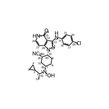 C[C@@H](C1CC1)N(O)[C@@H]1CC[C@@H](n2nc(Nc3ccc(Cl)cc3)c3c(=O)[nH]ccc32)[C@H](C#N)C1